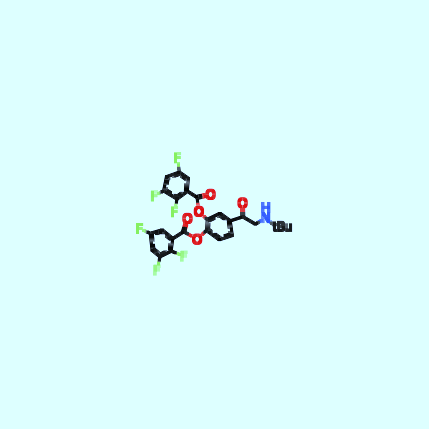 CC(C)(C)NCC(=O)c1ccc(OC(=O)c2cc(F)cc(F)c2F)c(OC(=O)c2cc(F)cc(F)c2F)c1